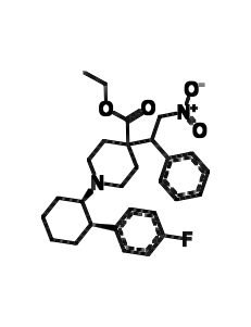 CCOC(=O)C1(C(C[N+](=O)[O-])c2ccccc2)CCN([C@@H]2CCCC[C@@H]2c2ccc(F)cc2)CC1